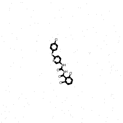 O=C(NC(=O)c1c(Cl)cccc1Cl)Nc1ccc(Sc2ccc(Cl)cc2)nc1